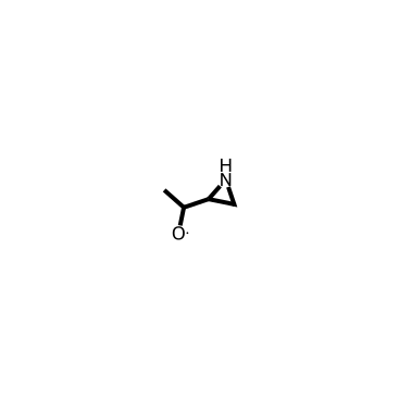 CC([O])C1CN1